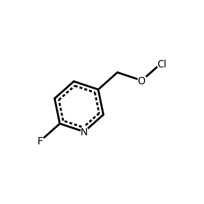 Fc1ccc(COCl)cn1